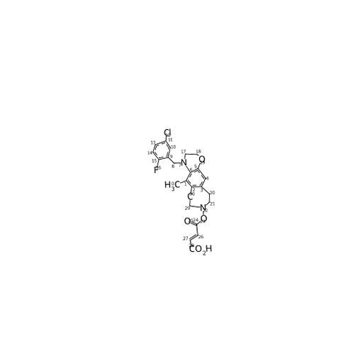 Cc1c2c(cc3c1N(Cc1cc(Cl)ccc1F)CCO3)CCN(OC(=O)/C=C/C(=O)O)CC2